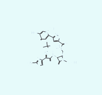 CC(C)(ON=C(C(=O)N[C@@H]1C(=O)N(S(=O)(=O)O)[C@@H]1CNC(=O)c1cc(-c2cc(=O)c(O)cn2O)no1)c1csc(N)n1)C(=O)O